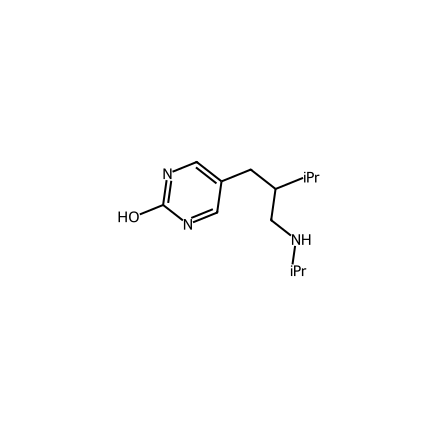 CC(C)NCC(Cc1cnc(O)nc1)C(C)C